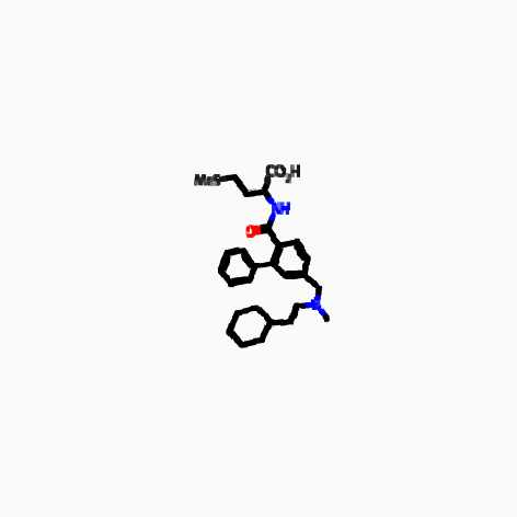 CSCCC(NC(=O)c1ccc(CN(C)CCC2CCCCC2)cc1-c1ccccc1)C(=O)O